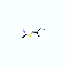 C=C(I)S/C=C(\C)CC